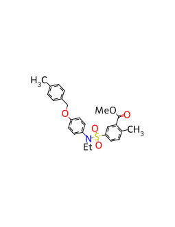 CCN(c1ccc(OCc2ccc(C)cc2)cc1)S(=O)(=O)c1ccc(C)c(C(=O)OC)c1